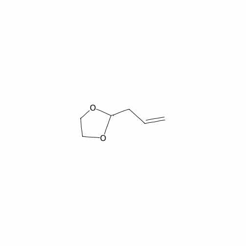 C=CC[C]1OCCO1